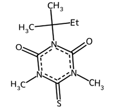 CCC(C)(C)n1c(=O)n(C)c(=S)n(C)c1=O